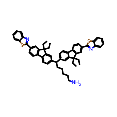 CCC1(CC)c2cc(-c3nc4ccccc4s3)ccc2-c2ccc(C(CCCCCN)c3ccc4c(c3)C(CC)(CC)c3cc(-c5nc6ccccc6s5)ccc3-4)cc21